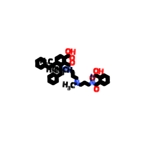 CN(CCCNC(=O)c1ccccc1C(=O)O)CCCNC(=O)c1c(C(=O)O)ccc(C(C)(C)Cc2ccccc2)c1C(C)(C)Cc1ccccc1